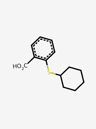 O=C(O)c1ccccc1SC1CCCCC1